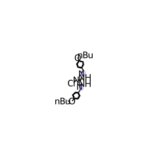 CCCCOc1ccc(/C=N/NC(=NCl)N/N=C/c2ccc(OCCCC)cc2)cc1